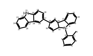 Cc1ccccc1N1c2ccccc2C2C=C(c3ccc4[nH]c5ccccc5c4c3)C=CC21